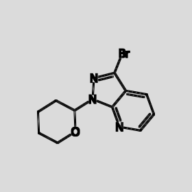 Brc1nn(C2CCCCO2)c2ncccc12